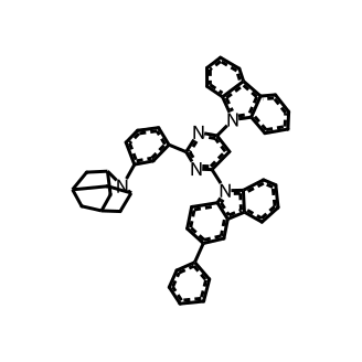 c1ccc(-c2ccc3c(c2)c2ccccc2n3-c2cc(-n3c4ccccc4c4ccccc43)nc(-c3cccc(N4C5CC6CC(C5)CC4C6)c3)n2)cc1